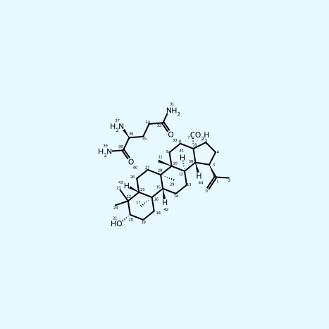 C=C(C)[C@@H]1CC[C@]2(C(=O)O)CC[C@]3(C)[C@H](CC[C@@H]4[C@@]5(C)CC[C@H](O)C(C)(C)[C@@H]5CC[C@]43C)[C@@H]12.NC(=O)CC[C@H](N)C(N)=O